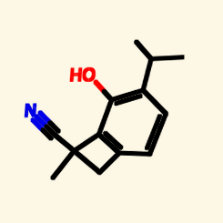 CC(C)c1ccc2c(c1O)C(C)(C#N)C2